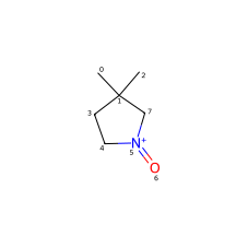 CC1(C)CC[N+](=O)C1